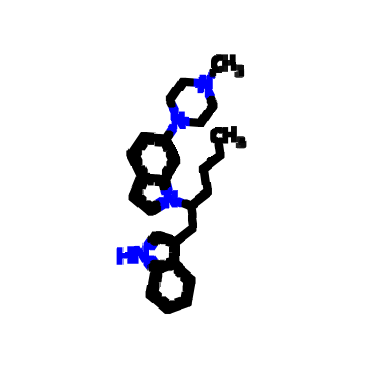 CCCCC(Cc1c[nH]c2ccccc12)n1ccc2ccc(N3CCN(C)CC3)cc21